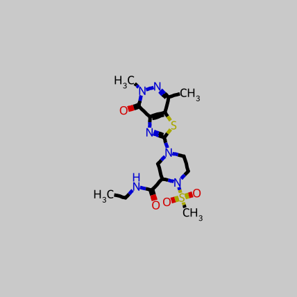 CCNC(=O)C1CN(c2nc3c(=O)n(C)nc(C)c3s2)CCN1S(C)(=O)=O